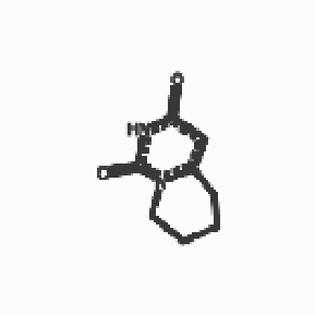 O=c1cc2n(c(=O)[nH]1)CCCC2